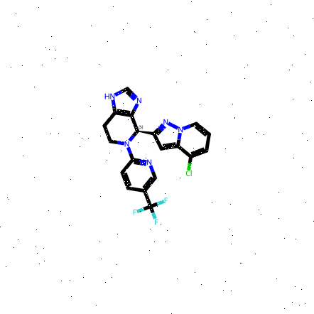 FC(F)(F)c1ccc(N2CCc3[nH]cnc3[C@H]2c2cc3c(Cl)cccn3n2)nc1